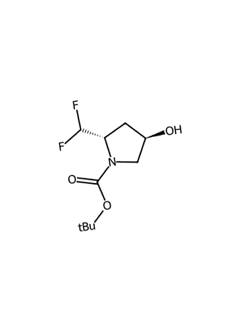 CC(C)(C)OC(=O)N1C[C@H](O)C[C@H]1C(F)F